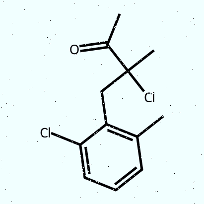 CC(=O)C(C)(Cl)Cc1c(C)cccc1Cl